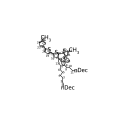 CCCCCCCCCCCCCCCCC(CCCCCCCCCCCCCC)CN1c2cc(-c3ccc(-c4ccc(C)s4)s3)sc2-c2sc(C)cc2S1(=O)=O